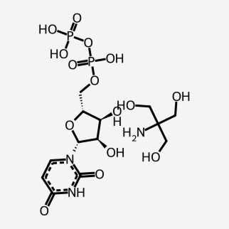 NC(CO)(CO)CO.O=c1ccn([C@@H]2O[C@H](COP(=O)(O)OP(=O)(O)O)[C@@H](O)[C@H]2O)c(=O)[nH]1